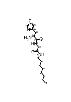 CCCCCCCCNC(=O)CNC(=O)[C@@H](N)Cc1c[nH]cn1